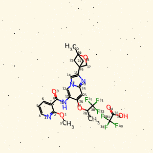 COc1ncccc1C(=O)Nc1cn2cc(C34COC(C)(C3)C4)nc2cc1OC(C)C(F)(F)F.O=C(O)C(F)(F)F